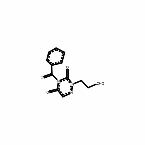 O=CCCn1ncc(=O)n(C(=O)c2ccccc2)c1=O